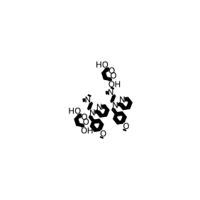 COc1ccc(CN(CCN(C)C)c2ccccn2)cc1.COc1ccc(CN(CCN(C)C)c2ccccn2)cc1.O=C(O)/C=C\C(=O)O.O=C(O)/C=C\C(=O)O